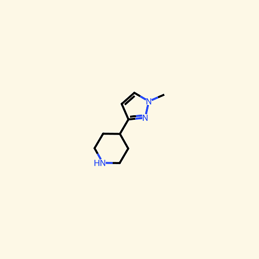 Cn1ccc(C2CCNCC2)n1